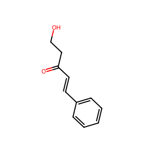 O=C(C=Cc1ccccc1)CCO